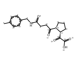 Cc1ccc(CNC(=O)CCC(=O)N2CCC[C@H]2C(=O)C(=O)O)cc1